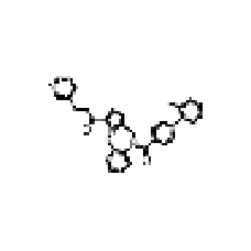 Cc1ccccc1-c1ccc(C(=O)N2Cc3ccc(C(=O)CCc4cccnc4)n3Cc3ccccc32)cc1